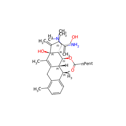 C=C(N)C(C)C(=C)[C@@]1(O)C(C)=C2Cc3c(C)cccc3[C@H](C)[C@H]2[C@H](OC(=O)CCCCC)[C@H]1[C@@H](CO)N(C)C